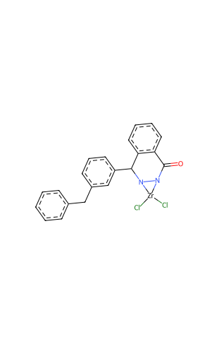 O=C1c2ccccc2C(c2cccc(Cc3ccccc3)c2)[N]2[N]1[Zr]2([Cl])[Cl]